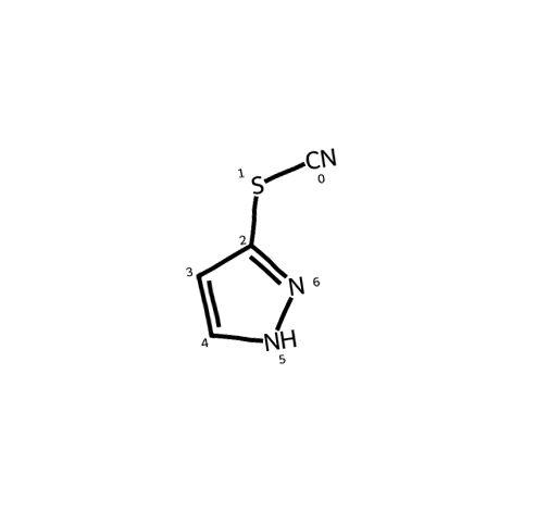 N#CSc1cc[nH]n1